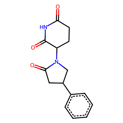 O=C1CCC(N2CC(c3ccccc3)CC2=O)C(=O)N1